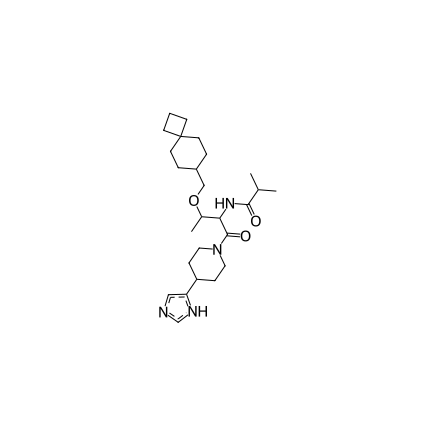 CC(C)C(=O)NC(C(=O)N1CCC(c2cnc[nH]2)CC1)C(C)OCC1CCC2(CCC2)CC1